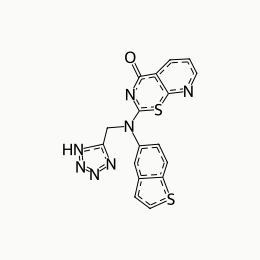 O=c1nc(N(Cc2nnn[nH]2)c2ccc3sccc3c2)sc2ncccc12